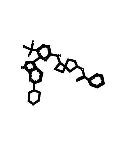 O=C(ON1CCC2(CCC2Nc2ncc(C(F)(F)F)c(-c3c[nH]c4nc(N5CCOCC5)ccc34)n2)C1)c1ccccc1